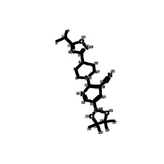 CC(C)c1nc(C2CCN(c3ncc(B4OC(C)(C)C(C)(C)O4)cc3C#N)CC2)no1